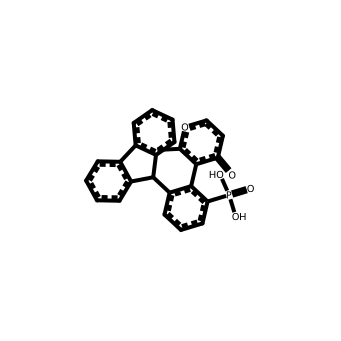 Cc1occc(=O)c1-c1c(C2c3ccccc3-c3ccccc32)cccc1P(=O)(O)O